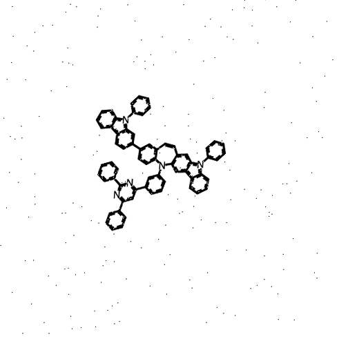 C1=Cc2cc3c(cc2N(c2cccc(-c4cc(-c5ccccc5)nc(-c5ccccc5)n4)c2)c2ccc(-c4ccc5c6ccccc6n(-c6ccccc6)c5c4)cc21)c1ccccc1n3-c1ccccc1